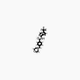 O=C(Nc1ncn2c(C(F)(F)F)csc12)c1ccc(CN2CCOCC2)cc1